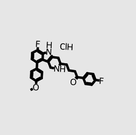 COc1ccc(-c2ccc(F)c3[nH]c4c(c23)CNC(CCCC(=O)c2ccc(F)cc2)C4)cc1.Cl